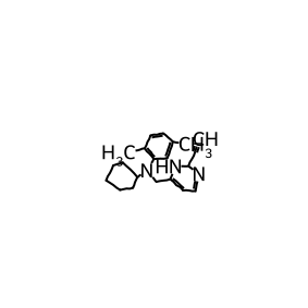 C#CC1N=CC=C(CN(c2cc(C)ccc2C)C2CCCCC2)N1